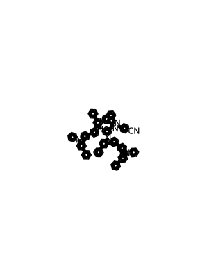 N#Cc1ccc(-c2nc(-c3cc(-n4c5ccc(-c6ccccc6)cc5c5cc(-c6ccc7c(c6)c6cc(-c8ccccc8)ccc6n7-c6ccccc6)ccc54)cc(-n4c5ccc(-c6ccccc6)cc5c5cc(-c6ccc7c(c6)c6cc(-c8ccccc8)ccc6n7-c6ccccc6)ccc54)c3)c3c(n2)-c2cccc4cccc-3c24)cc1